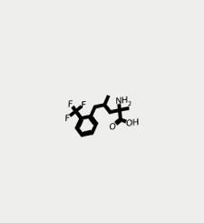 CC(Cc1ccccc1C(F)(F)F)CC(C)(N)C(=O)O